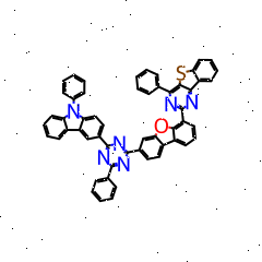 c1ccc(-c2nc(-c3ccc4c(c3)oc3c(-c5nc(-c6ccccc6)c6sc7ccccc7c6n5)cccc34)nc(-c3ccc4c(c3)c3ccccc3n4-c3ccccc3)n2)cc1